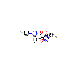 Cc1oc2ncn(C)c(=O)c2c1C(=O)N1CCN(c2ccc(Cl)cc2)CC1